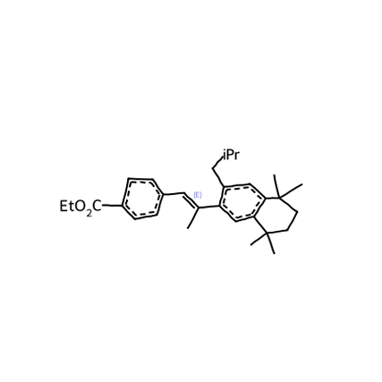 CCOC(=O)c1ccc(/C=C(\C)c2cc3c(cc2CC(C)C)C(C)(C)CCC3(C)C)cc1